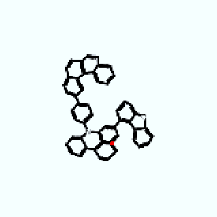 c1ccc(-c2ccccc2N(c2ccc(-c3ccc4ccc5ccc6ccccc6c5c4c3)cc2)c2cccc(-c3cccc4oc5ccccc5c34)c2)cc1